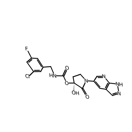 O=C(NCc1cc(F)cc(Cl)c1)O[C@@]1(O)CCN(c2cnc3[nH]ncc3c2)C1=O